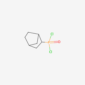 O=P(Cl)(Cl)C1CC2CCC1C2